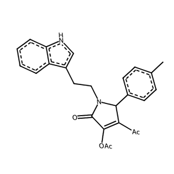 CC(=O)OC1=C(C(C)=O)C(c2ccc(C)cc2)N(CCc2c[nH]c3ccccc23)C1=O